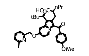 CCCC(Cc1c(C(=O)C(C)(C)C)c2cc(OCc3cccc(C)n3)ccn2c1C(=O)c1ccc(OC)cc1)C(=O)O